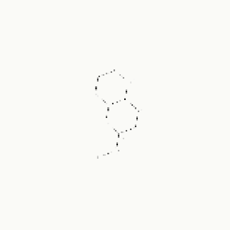 COC1CCC2OCCCC2O1